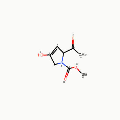 COC(=O)C1C=C(O)CN1C(=O)OC(C)(C)C